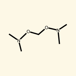 CN(C)OCON(C)C